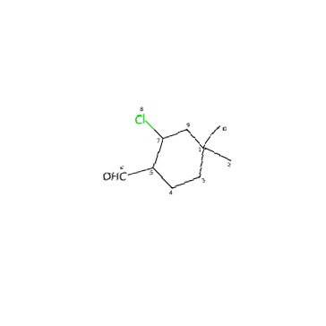 CC1(C)CCC(C=O)C(Cl)C1